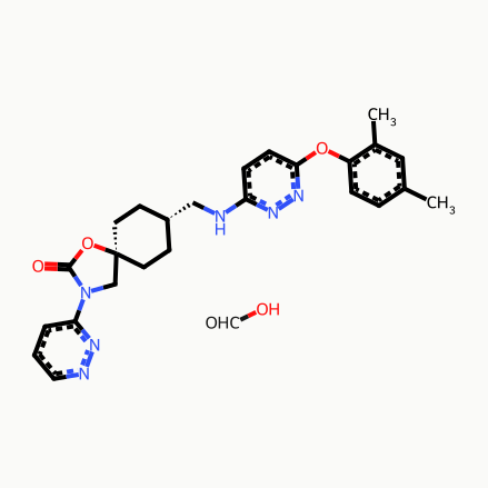 Cc1ccc(Oc2ccc(NC[C@H]3CC[C@]4(CC3)CN(c3cccnn3)C(=O)O4)nn2)c(C)c1.O=CO